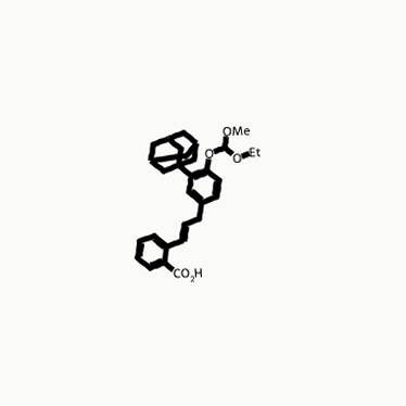 CCOC(OC)Oc1ccc(CC=Cc2ccccc2C(=O)O)cc1C12CC3CC(CC(C3)C1)C2